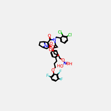 O=C(C1=C(Oc2ccc(CCCOc3c(F)ccc(F)c3F)cc2)CC2CCC1N2C(=O)OCCCCON(O)O)N(Cc1cccc(Cl)c1Cl)C1CC1